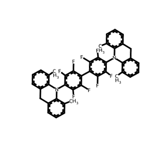 Cc1cccc2c1N(c1c(F)c(F)c(-c3c(F)c(F)c(N4c5c(C)cccc5Cc5cccc(C)c54)c(F)c3F)c(F)c1F)c1c(C)cccc1C2